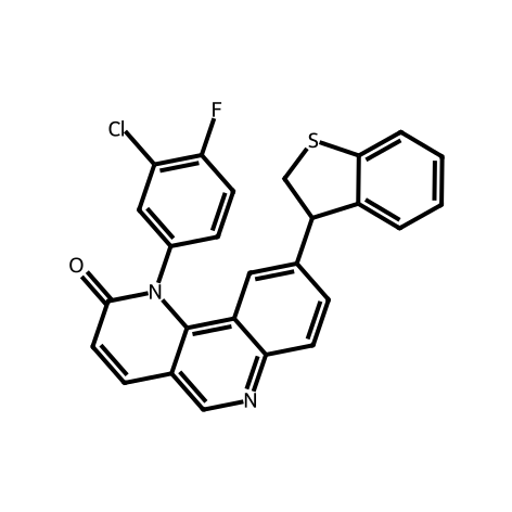 O=c1ccc2cnc3ccc(C4CSc5ccccc54)cc3c2n1-c1ccc(F)c(Cl)c1